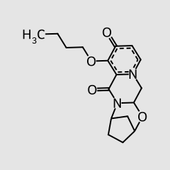 CCCCOc1c2n(ccc1=O)CC1OC3CCC(C3)N1C2=O